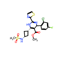 COC(=O)C1=C([C@H]2C[C@@H](NS(C)(=O)=O)C2)NC(c2nccs2)=NC1c1ccc(F)cc1Cl